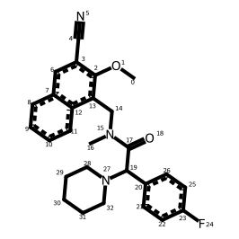 COc1c(C#N)cc2ccccc2c1CN(C)C(=O)C(c1ccc(F)cc1)N1CCCCC1